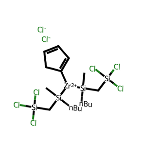 CCCC[Si](C)(C[Si](Cl)(Cl)Cl)[Zr+2]([C]1=CC=CC1)[Si](C)(CCCC)C[Si](Cl)(Cl)Cl.[Cl-].[Cl-]